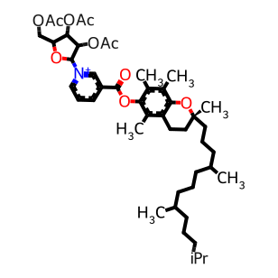 CC(=O)OCC1OC([n+]2cccc(C(=O)Oc3c(C)c(C)c4c(c3C)CC[C@@](C)(CCCC(C)CCCC(C)CCCC(C)C)O4)c2)C(OC(C)=O)C1OC(C)=O